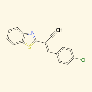 C#C/C(=C\c1ccc(Cl)cc1)c1nc2ccccc2s1